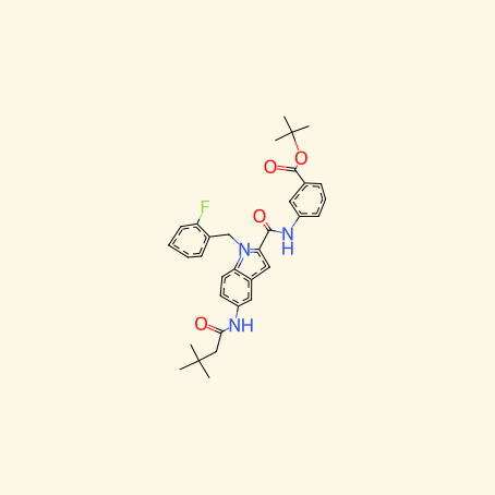 CC(C)(C)CC(=O)Nc1ccc2c(c1)cc(C(=O)Nc1cccc(C(=O)OC(C)(C)C)c1)n2Cc1ccccc1F